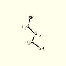 S[SiH2][SiH2][SiH2]S